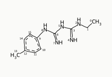 CCNC(=N)NC(=N)Nc1ccc(C)cc1